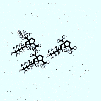 CC1(C)C(C(=O)[O-])CCC1(C=C(O)C(F)(F)C(F)(F)C(F)(F)F)C(=O)[O-].CC1(C)C(C(=O)[O-])CCC1(C=C(O)C(F)(F)C(F)(F)C(F)(F)F)C(=O)[O-].CC1(C)C(C(=O)[O-])CCC1(C=C(O)C(F)(F)C(F)(F)C(F)(F)F)C(=O)[O-].[Eu+2].[Eu+2].[Eu+2]